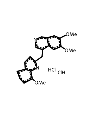 COc1cc2cncc(Cc3ccc4cccc(OC)c4n3)c2cc1OC.Cl.Cl